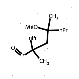 CCCC(C)(CC(C)(CCC)P=O)OC